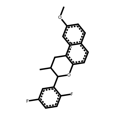 COc1ccc2ccc3c(c2c1)CC(C)C(c1cc(F)ccc1F)O3